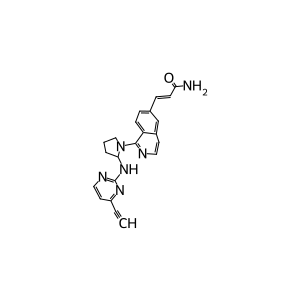 C#Cc1ccnc(NC2CCCN2c2nccc3cc(C=CC(N)=O)ccc23)n1